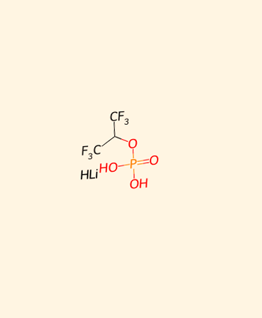 O=P(O)(O)OC(C(F)(F)F)C(F)(F)F.[LiH]